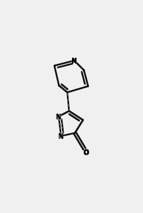 O=C1C=C(c2ccncc2)N=N1